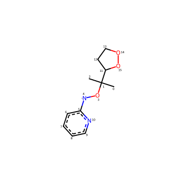 CC(C)(O[N]c1ccccn1)C1CCOO1